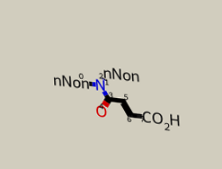 CCCCCCCCCN(CCCCCCCCC)C(=O)/C=C/C(=O)O